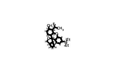 CCN(CC)c1ccc2c(c1)Oc1c(ccc(C)c1C(C)F)C21OCc2ccccc21